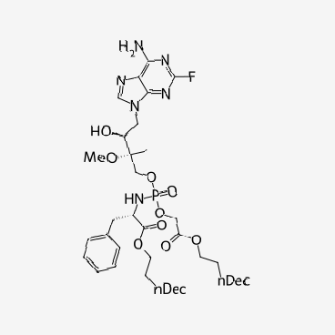 CCCCCCCCCCCCOC(=O)COP(=O)(N[C@@H](Cc1ccccc1)C(=O)OCCCCCCCCCCCC)OC[C@@](C)(OC)[C@@H](O)Cn1cnc2c(N)nc(F)nc21